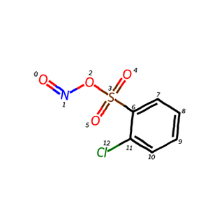 O=NOS(=O)(=O)c1ccccc1Cl